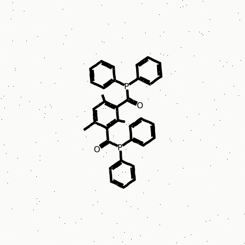 Cc1cc(C)c(C(=O)P(c2ccccc2)c2ccccc2)c(C)c1C(=O)P(c1ccccc1)c1ccccc1